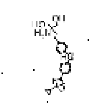 Cl.NC(CO)(CO)CCc1ccc(Sc2ccc(-c3coc(C4CC4)n3)cc2)cc1